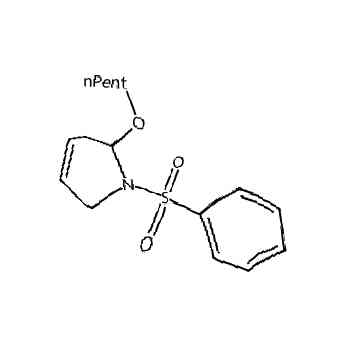 CCCCCOC1C=CCN1S(=O)(=O)c1ccccc1